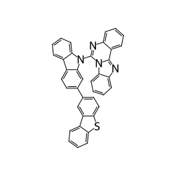 c1ccc2c(c1)nc(-n1c3ccccc3c3ccc(-c4ccc5sc6ccccc6c5c4)cc31)n1c3ccccc3nc21